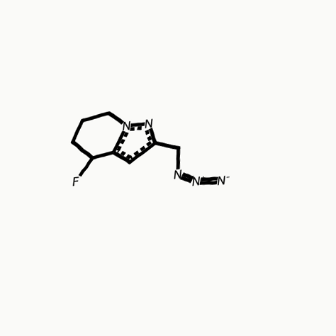 [N-]=[N+]=NCc1cc2n(n1)CCCC2F